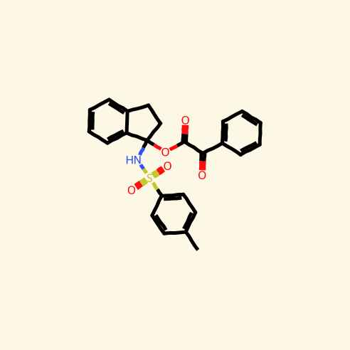 Cc1ccc(S(=O)(=O)NC2(OC(=O)C(=O)c3ccccc3)CCc3ccccc32)cc1